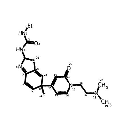 CCNC(=O)NC1N=C2C=CC(F)(c3ccn(CCN(C)C)c(=O)c3)C=C2S1